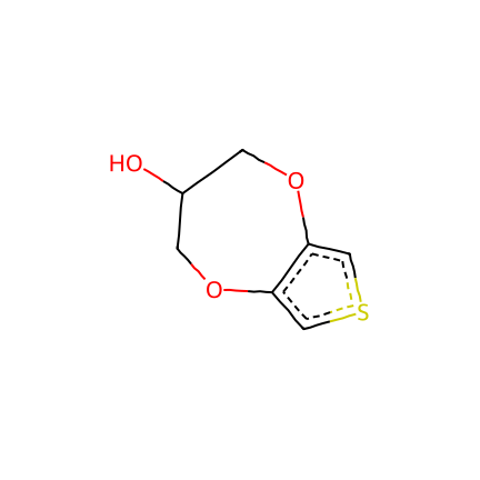 OC1COc2cscc2OC1